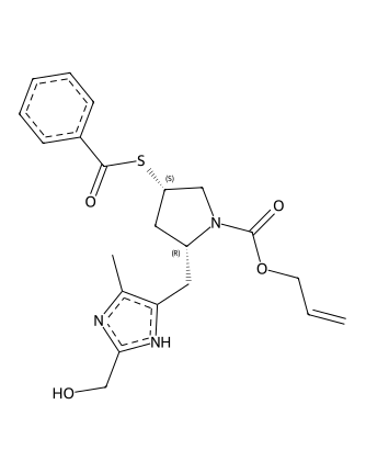 C=CCOC(=O)N1C[C@@H](SC(=O)c2ccccc2)C[C@H]1Cc1[nH]c(CO)nc1C